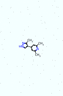 Cc1cc(-c2c[nH]nc2C)cc(C)n1